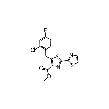 COC(=O)c1nc(-c2nccs2)sc1Cc1ccc(F)cc1Cl